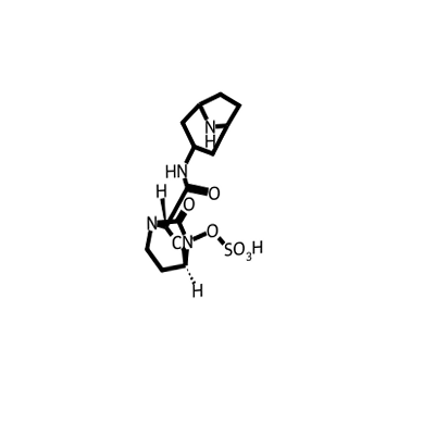 O=C(NC1CC2CCC(C1)N2)[C@@H]1CC[C@@H]2CCN1C(=O)N2OS(=O)(=O)O